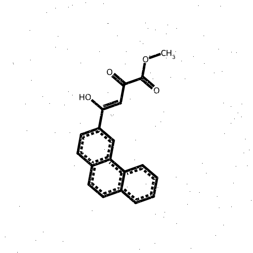 COC(=O)C(=O)C=C(O)c1ccc2ccc3ccccc3c2c1